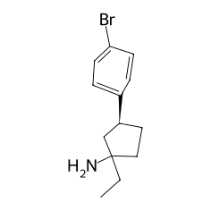 CCC1(N)CC[C@H](c2ccc(Br)cc2)C1